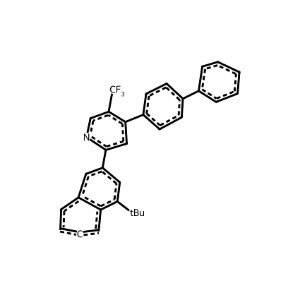 CC(C)(C)c1cc(-c2cc(-c3ccc(-c4ccccc4)cc3)c(C(F)(F)F)cn2)cc2ccccc12